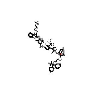 COC(=O)c1nc(N(C)c2cc(C)c(/N=c3\sc4ccccc4n3COCC[Si](C)(C)C)nn2)ccc1-c1cnn(CC23CC4(C)CC(C)(C2)CC(OCCO[Si](c2ccccc2)(c2ccccc2)C(C)(C)C)(C4)C3)c1C